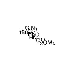 COC(=O)C1(c2ccc(NC(=O)Nc3cccnc3Oc3ccccc3C(C)(C)C)cc2)CC1